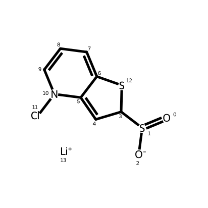 O=S([O-])C1C=C2C(=CC=CN2Cl)S1.[Li+]